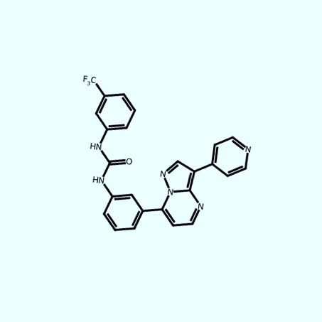 O=C(Nc1cccc(-c2ccnc3c(-c4ccncc4)cnn23)c1)Nc1cccc(C(F)(F)F)c1